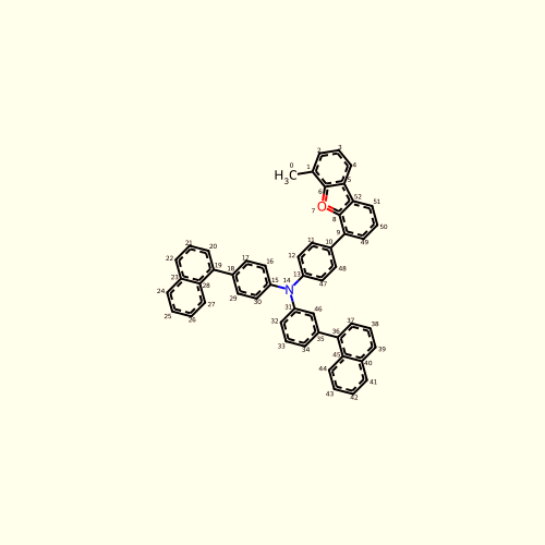 Cc1cccc2c1oc1c(-c3ccc(N(c4ccc(-c5cccc6ccccc56)cc4)c4cccc(-c5cccc6ccccc56)c4)cc3)cccc12